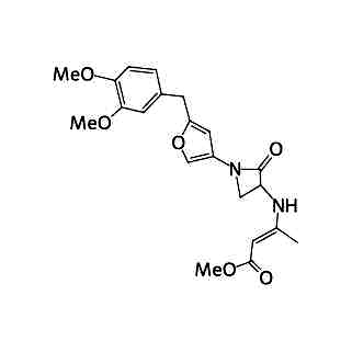 COC(=O)C=C(C)NC1CN(c2coc(Cc3ccc(OC)c(OC)c3)c2)C1=O